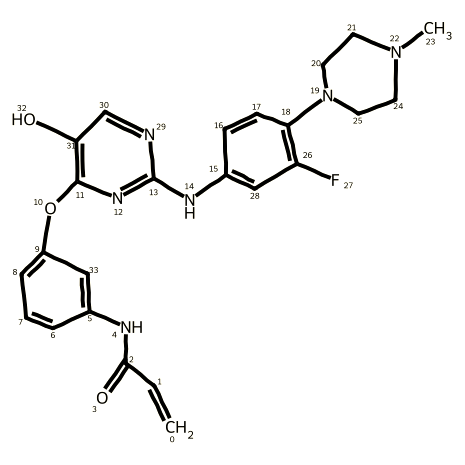 C=CC(=O)Nc1cccc(Oc2nc(Nc3ccc(N4CCN(C)CC4)c(F)c3)ncc2O)c1